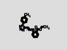 CCOC(=O)c1ccccc1N/C=C/c1nnnn1-c1ccc(C)cc1